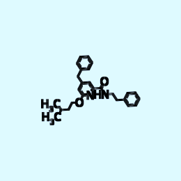 CC(C)CCOc1cc(Cc2ccccc2)cc(C(=O)NCCc2ccccc2)n1